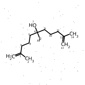 C=C(C)CCCC(O)(F)CCCC(=C)C